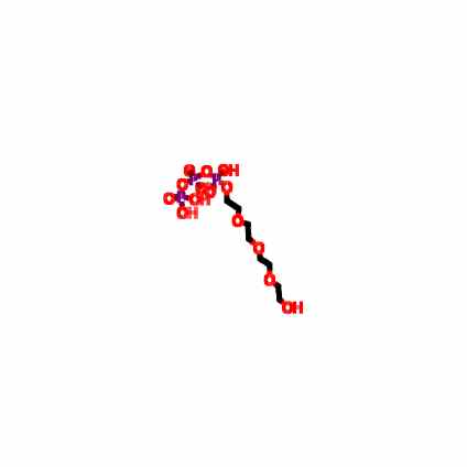 O=P(O)(O)OP(=O)(O)OP(=O)(O)OCCOCCOCCOCCO